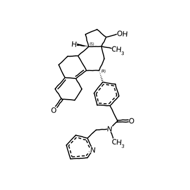 CN(Cc1ccccn1)C(=O)c1ccc([C@H]2CC3(C)C(O)CC[C@H]3C3CCC4=CC(=O)CCC4=C32)cc1